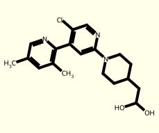 Cc1cnc(-c2cc(N3CCC(CC(O)O)CC3)ncc2Cl)c(C)c1